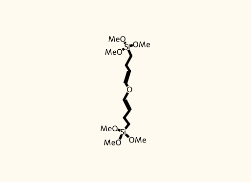 CO[Si](CCC=COC=CCC[Si](OC)(OC)OC)(OC)OC